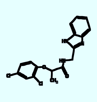 CC(Oc1ccc(Cl)cc1Cl)C(=O)NCc1nc2ccccc2[nH]1